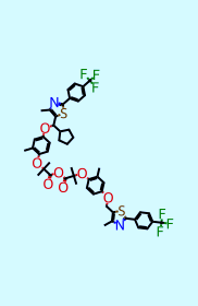 Cc1cc(OCc2sc(-c3ccc(C(F)(F)F)cc3)nc2C)ccc1OC(C)(C)C(=O)OC(=O)C(C)(C)Oc1ccc(OC(c2sc(-c3ccc(C(F)(F)F)cc3)nc2C)C2CCCC2)cc1C